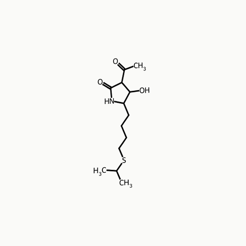 CC(=O)C1C(=O)NC(CCCCSC(C)C)C1O